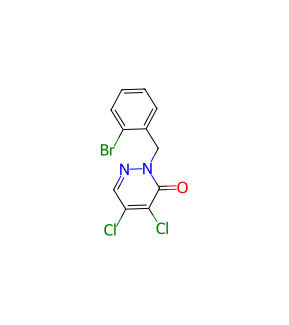 O=c1c(Cl)c(Cl)cnn1Cc1ccccc1Br